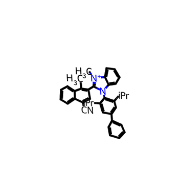 Cc1c(-c2n(-c3c(C(C)C)cc(-c4ccccc4)cc3C(C)C)c3ccccc3[n+]2C)cc(C#N)c2ccccc12